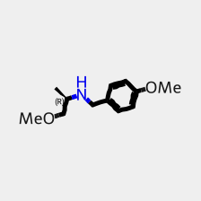 COC[C@@H](C)NCc1ccc(OC)cc1